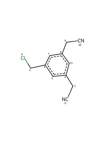 N#CCc1cc(CCl)cc(CC#N)c1